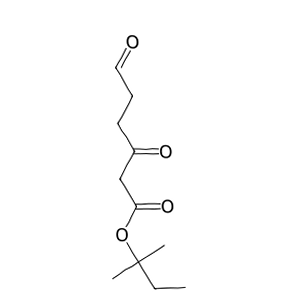 CCC(C)(C)OC(=O)CC(=O)CCC=O